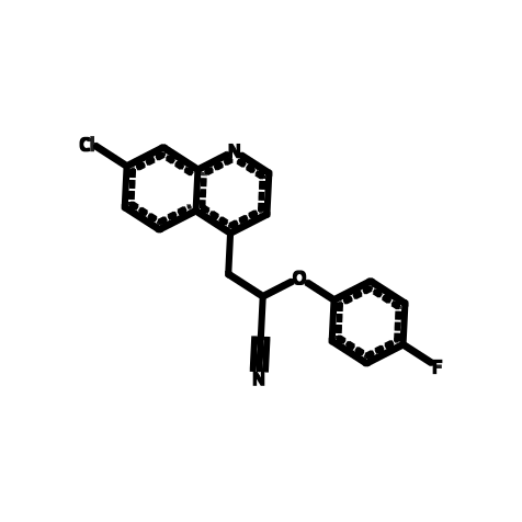 N#CC(Cc1ccnc2cc(Cl)ccc12)Oc1ccc(F)cc1